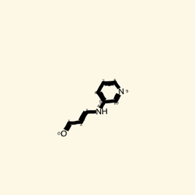 O=C/C=C/Nc1cccnc1